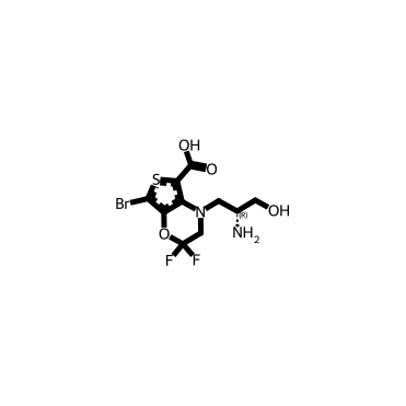 N[C@@H](CO)CN1CC(F)(F)Oc2c(Br)sc(C(=O)O)c21